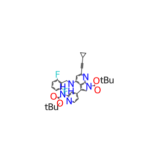 CC(C)(C)OC(=O)Nc1cc(-c2cn(C(=O)OC(C)(C)C)c3nc(C#CC4CC4)cc(NCc4c(F)cccc4F)c23)ccn1